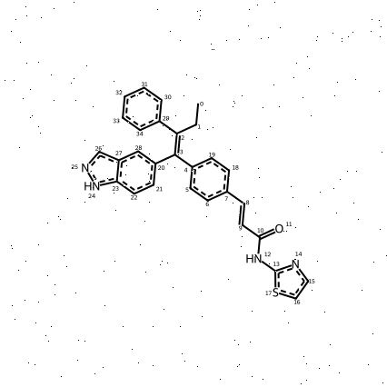 CCC(=C(c1ccc(C=CC(=O)Nc2nccs2)cc1)c1ccc2[nH]ncc2c1)c1ccccc1